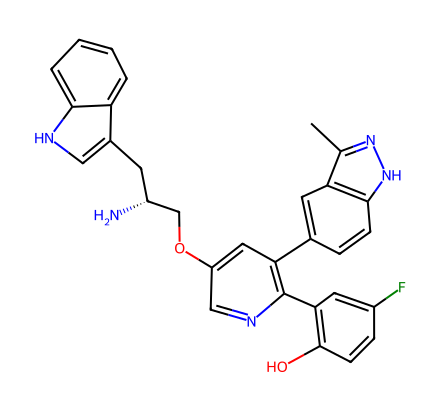 Cc1n[nH]c2ccc(-c3cc(OC[C@H](N)Cc4c[nH]c5ccccc45)cnc3-c3cc(F)ccc3O)cc12